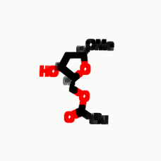 CO[C@H]1C[C@H](O)[C@@H](COC(=O)C(C)(C)C)O1